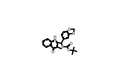 CC(C)(C)OC(=O)N1Cc2c([nH]c3ccccc3c2=O)C1c1ccc2c(c1)OCO2